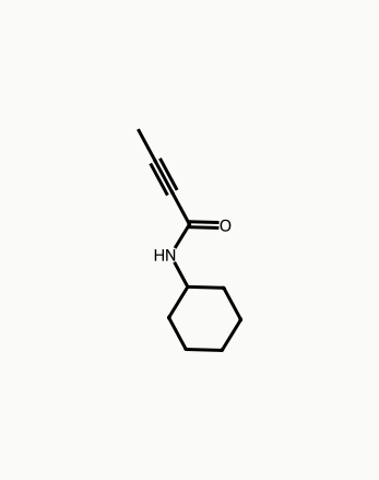 CC#CC(=O)NC1CCCCC1